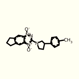 Cc1ccc(C2CCN(c3n[n+]([O-])c4cc5c(cc4[n+]3[O-])CCC5)C2)cc1